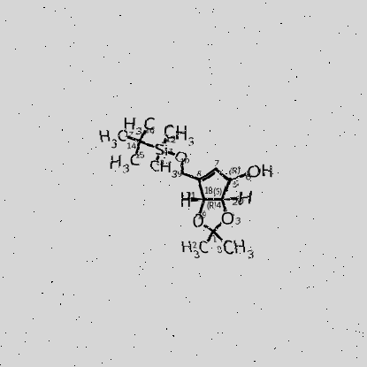 CC1(C)O[C@H]2[C@H](O)C=C(CO[Si](C)(C)C(C)(C)C)[C@H]2O1